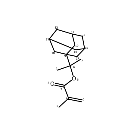 C=C(C)C(=O)OC(C)(C)C12CC3CC(CC(C3)C1)C2